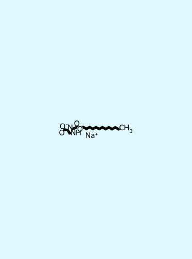 CCCCCCCCCCCCCOC(=O)C1=NC(C(=O)[O-])CN1.[Na+]